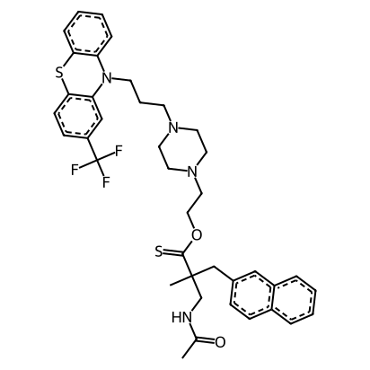 CC(=O)NCC(C)(Cc1ccc2ccccc2c1)C(=S)OCCN1CCN(CCCN2c3ccccc3Sc3ccc(C(F)(F)F)cc32)CC1